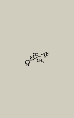 CN(C(=O)CCn1cncn1)c1cn(-c2cccnc2)nc1Cl